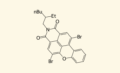 CCCCC(CC)Cn1c(=O)c2cc(Br)c3oc4ccccc4c4c(Br)cc(c1=O)c2c34